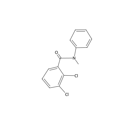 CN(C(=O)c1cccc(Cl)c1Cl)c1ccccc1